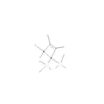 CC1(C)C(O)=C(O)C1([Si](C)(C)C)[Si](C)(C)C